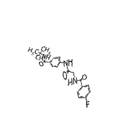 CC(C)(C)NC(=O)c1ccc(NC(=O)CNC(=O)c2ccc(F)cc2)cc1